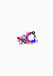 C=C[C@@H]1C[C@]1(NC(=O)[C@@H]1C[C@@H]2CN1C(=O)[C@H](CCCC)NC(=O)NC(C)(C)CCCCc1cccc3c1CN(C3)C(=O)O2)C(=O)NS(=O)(=O)C1CC1